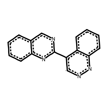 [c]1nnc2ccccc2c1-c1ncc2ccccc2n1